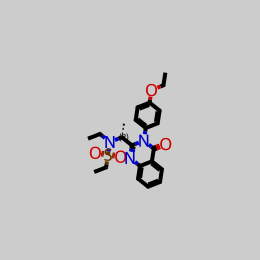 CCOc1ccc(-n2c([C@@H](C)N(CC)S(=O)(=O)CC)nc3ccccc3c2=O)cc1